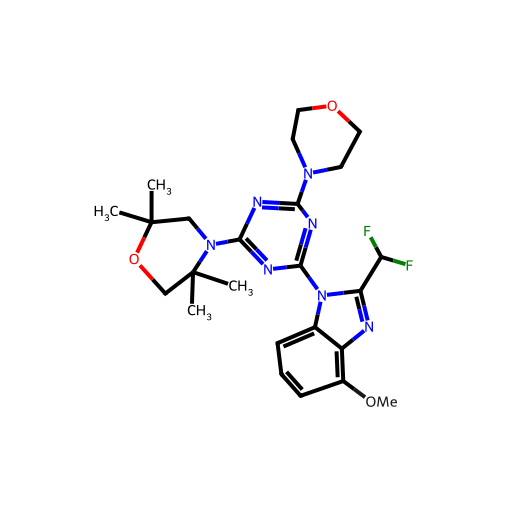 COc1cccc2c1nc(C(F)F)n2-c1nc(N2CCOCC2)nc(N2CC(C)(C)OCC2(C)C)n1